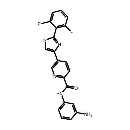 Nc1cccc(NC(=O)c2ccc(-c3c[nH]c(-c4c(F)cccc4Cl)n3)cn2)c1